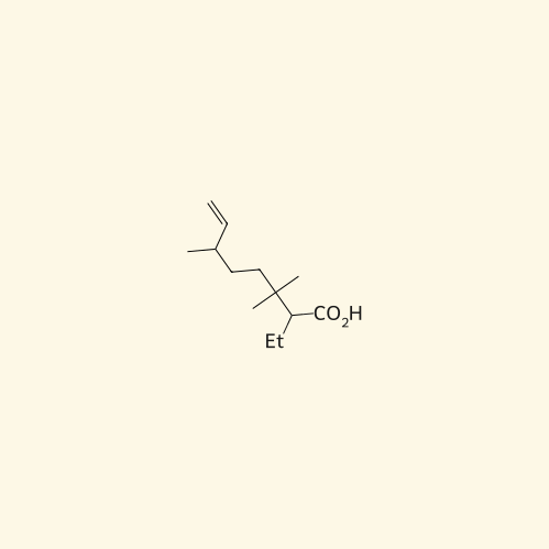 C=CC(C)CCC(C)(C)C(CC)C(=O)O